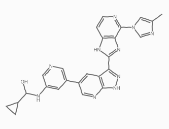 Cc1cn(-c2nccc3[nH]c(-c4n[nH]c5ncc(-c6cncc(NC(O)C7CC7)c6)cc45)nc23)cn1